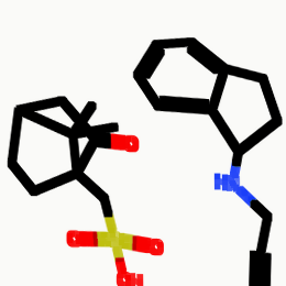 C#CCNC1CCc2ccccc21.CC1(C)C2CCC1(CS(=O)(=O)O)C(=O)C2